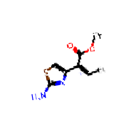 CC/C=C(\C(=O)OC(C)C)c1csc(N)n1